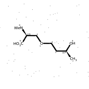 CN[C@@H](COCC[C@H](C)O)C(=O)O